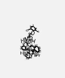 Cc1cccc(C)c1OCC(=O)N[C@@H](Cc1ccccc1)C(O)C[C@H](Cc1ccccc1)NC(=O)[C@H](C(C)C)N1CCCNC1=O